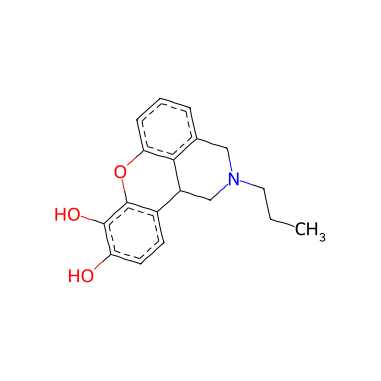 CCCN1Cc2cccc3c2C(C1)c1ccc(O)c(O)c1O3